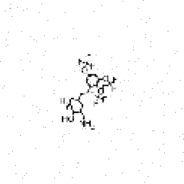 CC(CCc1cc(OC(F)(F)F)cc(OC(F)(F)F)c1OC(F)(F)F)CC(CN)C(=O)O